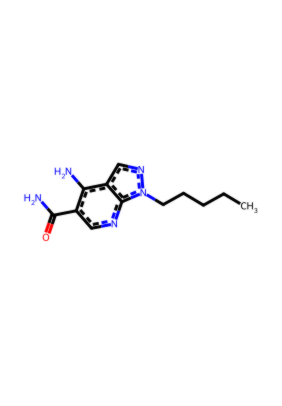 CCCCCn1ncc2c(N)c(C(N)=O)cnc21